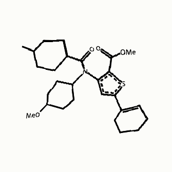 COC(=O)c1sc(C2=CCCCC2)cc1N(C(=O)C1CCC(C)CC1)C1CCC(OC)CC1